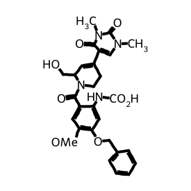 COc1cc(C(=O)N2CCC(c3cn(C)c(=O)n(C)c3=O)=CC2CO)c(NC(=O)O)cc1OCc1ccccc1